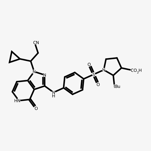 CC(C)(C)C1C(C(=O)O)CCN1S(=O)(=O)c1ccc(Nc2nn(C(CC#N)C3CC3)c3cc[nH]c(=O)c23)cc1